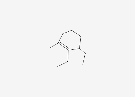 CCC1=C(C)CCCC1CC